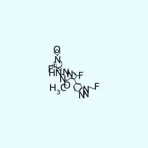 COc1nc(N[C@H]2CCN(C3COC3)C[C@@H]2F)nn2cc(F)c(-c3ccc4nnn(CCF)c4c3)c12